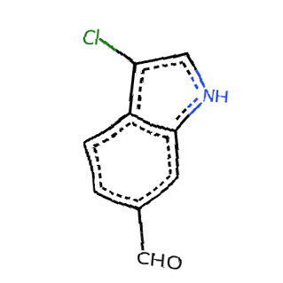 O=Cc1ccc2c(Cl)c[nH]c2c1